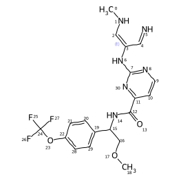 CN/C=C(\C=N)Nc1nccc(C(=O)NC(COC)c2ccc(OC(F)(F)F)cc2)n1